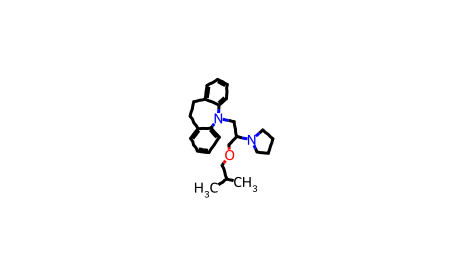 CC(C)COCC(CN1c2ccccc2CCc2ccccc21)N1CCCC1